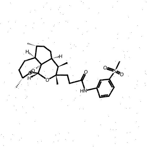 C[C@@H]1CC[C@H]2[C@@H](C)[C@](C)(CCC(=O)Nc3cccc(S(C)(=O)=O)c3)O[C@@H]3O[C@]4(C)CC[C@@H]1[C@]32OO4